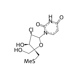 CSC[C@]1(CO)OC(n2ccc(=O)[nH]c2=O)[C@H](Cl)[C@@H]1O